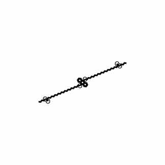 CCCCOC(=O)CCCCCCCCCCCCCCCCCCCOc1c2ccccc2c(OCCCCCCCCCCCCCCCCCCCC(=O)OCCCC)c2ccccc12